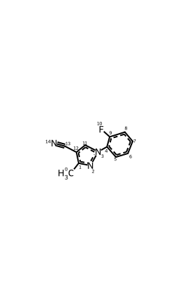 Cc1nn(-c2ccccc2F)cc1C#N